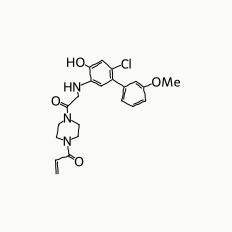 C=CC(=O)N1CCN(C(=O)CNc2cc(-c3cccc(OC)c3)c(Cl)cc2O)CC1